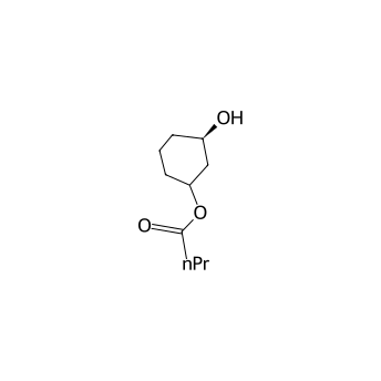 CCCC(=O)OC1CCC[C@@H](O)C1